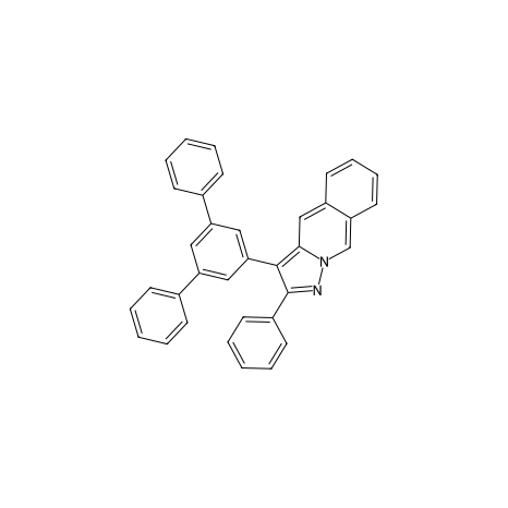 c1ccc(-c2cc(-c3ccccc3)cc(-c3c(-c4ccccc4)nn4cc5ccccc5cc34)c2)cc1